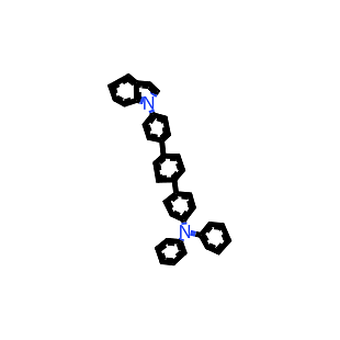 c1ccc(N(c2ccccc2)c2ccc(-c3ccc(-c4ccc(-n5ccc6ccccc65)cc4)cc3)cc2)cc1